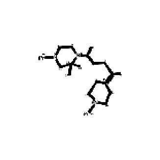 CC(CCC(C)N1CCN(C(C)C)CC1(C)C)=C1CCN(C(C)C)CC1